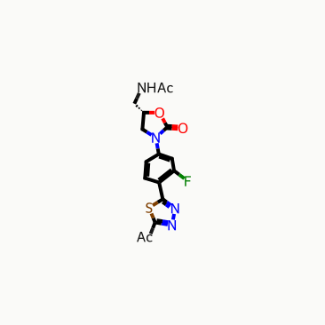 CC(=O)NC[C@H]1CN(c2ccc(-c3nnc(C(C)=O)s3)c(F)c2)C(=O)O1